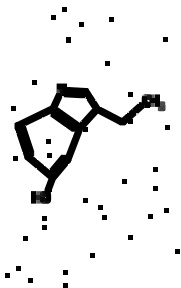 CCC1C=Nc2ccc(O)cc21